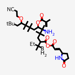 BC(C)(CC)C(CC(C)(C)C(C)(N)C(CC(C)(C)C(C)(C)C(CC(C)(C)C)OCCC#N)OC(=O)C(=C)C)C(=O)OC(=O)/C=C/C1CCC(=O)N1